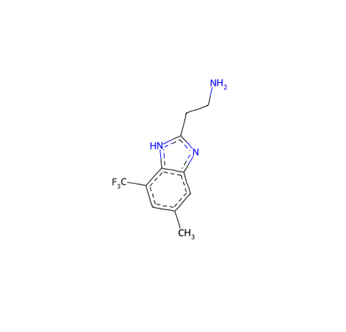 Cc1cc(C(F)(F)F)c2[nH]c(CCN)nc2c1